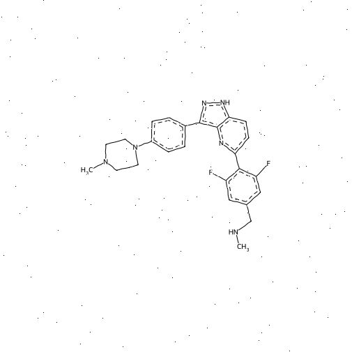 CNCc1cc(F)c(-c2ccc3[nH]nc(-c4ccc(N5CCN(C)CC5)cc4)c3n2)c(F)c1